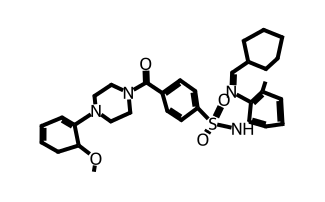 COC1CC=CC=C1N1CCN(C(=O)c2ccc(S(=O)(=O)Nc3cccc(C)c3/N=C\C3CCCCC3)cc2)CC1